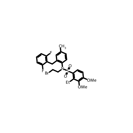 CCc1c(S(=O)(=O)N(CCBr)c2ccc(C)cc2Cc2c(F)cccc2F)ccc(OC)c1OC